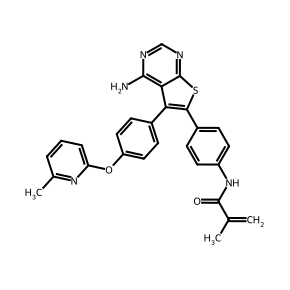 C=C(C)C(=O)Nc1ccc(-c2sc3ncnc(N)c3c2-c2ccc(Oc3cccc(C)n3)cc2)cc1